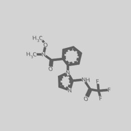 CON(C)C(=O)c1ccccc1-n1ccnc1NC(=O)C(F)(F)F